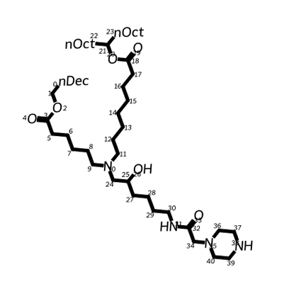 CCCCCCCCCCCOC(=O)CCCCCN(CCCCCCCC(=O)OC(CCCCCCCC)CCCCCCCC)CC(O)CCCCNC(=O)CN1CCNCC1